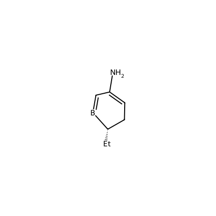 CC[C@@H]1B=CC(N)=CC1